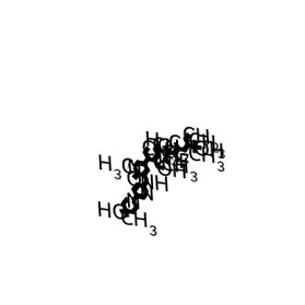 C=C/C(=C(CO)\C(=C/C)c1cc(Nc2ccc(N3CCC(C)(O)CC3)cn2)c(=O)n(C)c1)N(C)C(=O)/C(CF)=C(C)/C=C(\C=C)C(C)(C)O